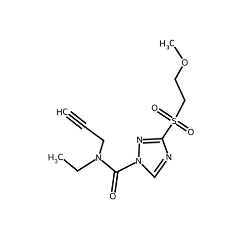 C#CCN(CC)C(=O)n1cnc(S(=O)(=O)CCOC)n1